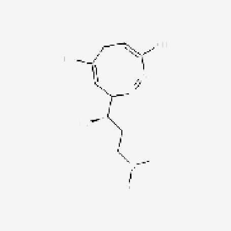 CCCN(C)CC[C@@H](C)C1/C=C(/C)C/C=C(C)\N=N/1